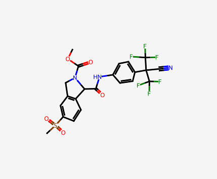 COC(=O)N1Cc2cc(S(C)(=O)=O)ccc2C1C(=O)Nc1ccc(C(C#N)(C(F)(F)F)C(F)(F)F)cc1